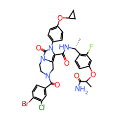 CC(Oc1ccc([C@@H](C)NC(=O)c2c3n(c(=O)n2-c2ccc(OC4CC4)cc2)CCN(C(=O)c2ccc(Br)c(Cl)c2)C3)c(F)c1)C(N)=O